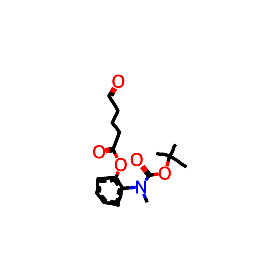 CN(C(=O)OC(C)(C)C)c1ccccc1OC(=O)CCCC=O